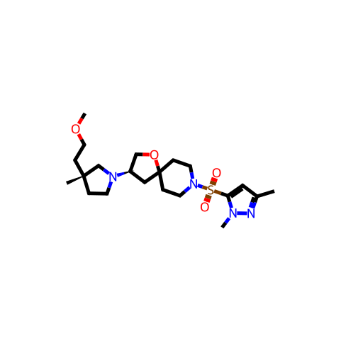 COCC[C@@]1(C)CCN([C@H]2COC3(CCN(S(=O)(=O)c4cc(C)nn4C)CC3)C2)C1